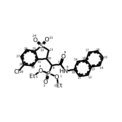 CCOP(=O)(OCC)C(C(=O)Nc1ccc2ccccc2c1)C1CS(=O)(=O)c2ccc(Cl)cc21